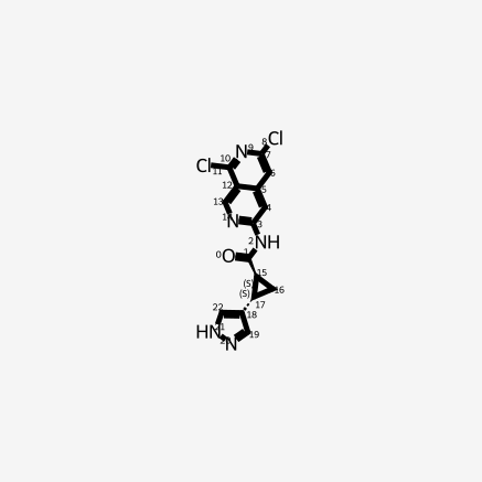 O=C(Nc1cc2cc(Cl)nc(Cl)c2cn1)[C@H]1C[C@@H]1c1cn[nH]c1